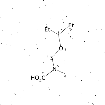 CCC(CC)OSN(C)C(=O)O